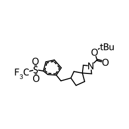 CC(C)(C)OC(=O)N1CC2(CCC(Cc3cccc(S(=O)(=O)C(F)(F)F)c3)C2)C1